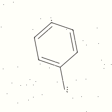 [C]c1cc[c]cc1